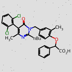 CCCCc1nc(C)c(-c2c(Cl)cccc2Cl)c(=O)n1Cc1ccc(OC(C(=O)O)c2ccccc2)c(C)c1